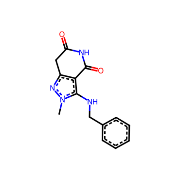 Cn1nc2c(c1NCc1ccccc1)C(=O)NC(=O)C2